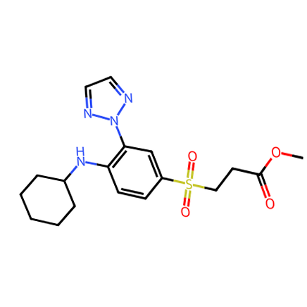 COC(=O)CCS(=O)(=O)c1ccc(NC2CCCCC2)c(-n2nccn2)c1